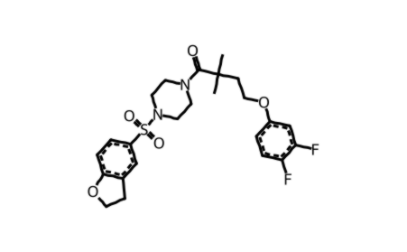 CC(C)(CCOc1ccc(F)c(F)c1)C(=O)N1CCN(S(=O)(=O)c2ccc3c(c2)CCO3)CC1